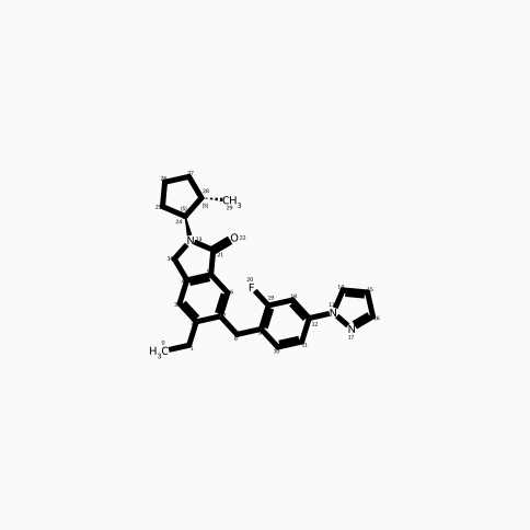 CCc1cc2c(cc1Cc1ccc(-n3cccn3)cc1F)C(=O)N([C@H]1CCC[C@@H]1C)C2